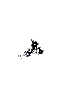 C=N/C=C\C(C(=O)O)=C(/C)Nc1nn(CC2CCC2)c2ccc(F)cc12